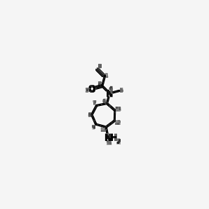 C=CC(=O)N(C)C1CCCC(N)CC1